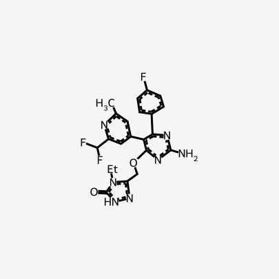 CCn1c(COc2nc(N)nc(-c3ccc(F)cc3)c2-c2cc(C)nc(C(F)F)c2)n[nH]c1=O